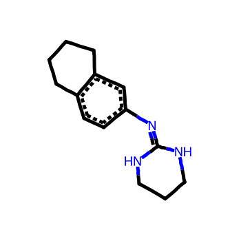 c1cc2c(cc1N=C1NCCCN1)CCCC2